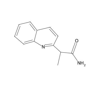 CC(C(N)=O)c1ccc2ccccc2n1